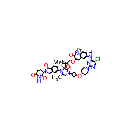 CNC(=O)COc1cc2cc(Nc3nc(N4CCC(O[C@H]5C[C@H](N6C[C@@H](C)N(c7ccc8c(c7)CN(C7CCC(=O)NC7=O)C8=O)[C@@H](C)C6)C5)CC4)ncc3Cl)ccc2n(C(C)C)c1=O